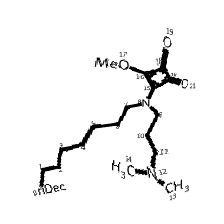 CCCCCCCCCCCCCCCCCN(CCCN(C)C)c1c(OC)c(=O)c1=O